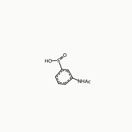 CC(=O)Nc1cccc(S(=O)O)c1